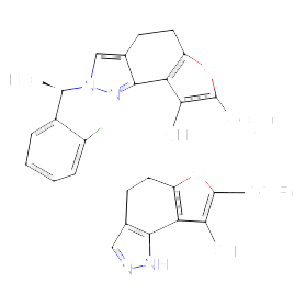 CCOC(=O)c1oc2c(c1C)-c1[nH]ncc1CC2.CCOC(=O)c1oc2c(c1C)-c1nn([C@H](C)c3ccccc3F)cc1CC2